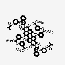 C=C(C)C(=O)OC1CCCC(NC(=O)C(Cc2ccccc2)N2C(=O)c3cc(Oc4cccc(C(=O)OC)c4)c4c5c(Oc6cccc(C(=O)OC)c6)cc6c7c(cc(Oc8cccc(C(=O)OC)c8)c(c8c(Oc9cccc(C(=O)OC)c9)cc(c3c48)C2=O)c75)C(=O)N(C(Cc2ccccc2)C(=O)NC2CCCC(OC(=O)C(=C)C)C2)C6=O)C1